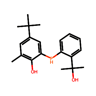 Cc1cc(C(C)(C)C)cc(Pc2ccccc2C(C)(C)O)c1O